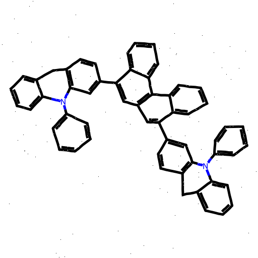 c1ccc(N2c3ccccc3Cc3ccc(-c4cc5cc(-c6ccc7c(c6)N(c6ccccc6)c6ccccc6C7)c6ccccc6c5c5ccccc45)cc32)cc1